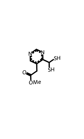 COC(=O)Cc1cncnc1C(S)S